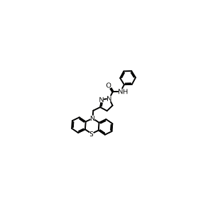 O=C(Nc1ccccc1)N1CCC(CN2c3ccccc3Sc3ccccc32)=N1